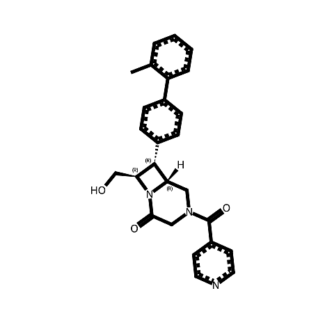 Cc1ccccc1-c1ccc([C@H]2[C@H](CO)N3C(=O)CN(C(=O)c4ccncc4)C[C@@H]23)cc1